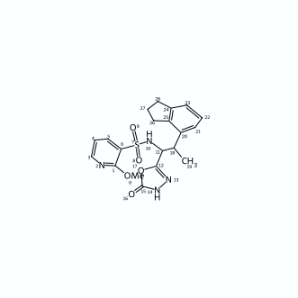 COc1ncccc1S(=O)(=O)NC(c1n[nH]c(=O)o1)C(C)c1cccc2c1CCC2